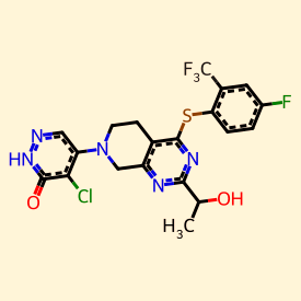 CC(O)c1nc2c(c(Sc3ccc(F)cc3C(F)(F)F)n1)CCN(c1cn[nH]c(=O)c1Cl)C2